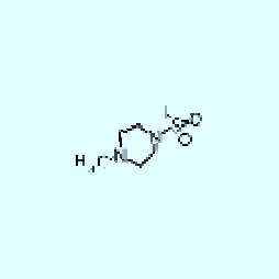 CN1CCN(S(=O)(=O)I)CC1